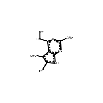 CCCNc1nc(SC)nc2[nH]c(CC)c(C=O)c12